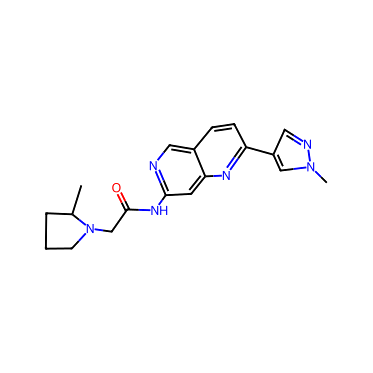 CC1CCCN1CC(=O)Nc1cc2nc(-c3cnn(C)c3)ccc2cn1